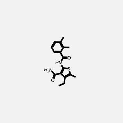 CCc1c(C)sc(NC(=O)c2cccc(C)c2C)c1C(N)=O